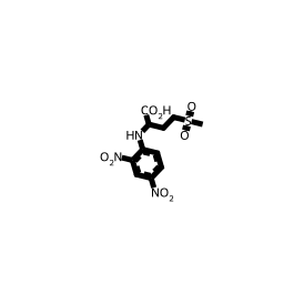 CS(=O)(=O)CCC(Nc1ccc([N+](=O)[O-])cc1[N+](=O)[O-])C(=O)O